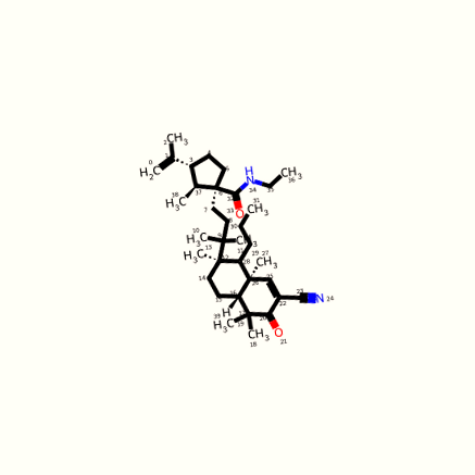 C=C(C)[C@@H]1CC[C@@](CCC(C)(C)[C@]2(C)CC[C@H]3C(C)(C)C(=O)C(C#N)=C[C@]3(C)C2CCC)(C(=O)NCC)[C@H]1C